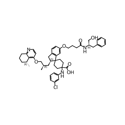 C[C@@H](COc1ccnc2c1[C@H](C)CCC2)C[C@H]1Cc2ccc(OCCCC(=O)N[C@@H](CO)Cc3ccccc3)cc2C12CCC(Nc1cccc(Cl)c1)(C(=O)O)CC2